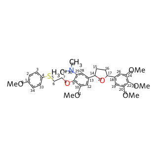 COc1ccc(SCCOc2c(OC)cc(C3CCC(c4cc(OC)c(OC)c(OC)c4)O3)cc2N(C)C)cc1